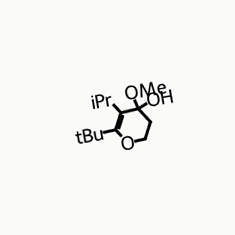 COC1(O)CCOC(C(C)(C)C)=C1C(C)C